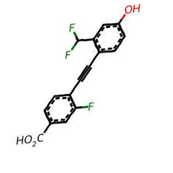 O=C(O)c1ccc(C#Cc2ccc(O)cc2C(F)F)c(F)c1